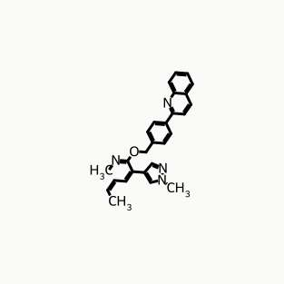 C\C=C/C=C(\C(=N/C)OCc1ccc(-c2ccc3ccccc3n2)cc1)c1cnn(C)c1